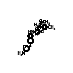 Cc1ccc(Nc2nc(Nc3ccc4c(c3)CC[C@@H](CC3CCC(N)COC3)CC4)ncc2Cl)c(P(C)(C)=O)c1